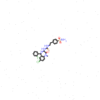 CN1C(=O)C(NC(=S)NCCc2ccc(S(N)(=O)=O)cc2)N=C(c2ccccc2Cl)c2cc(Cl)ccc21